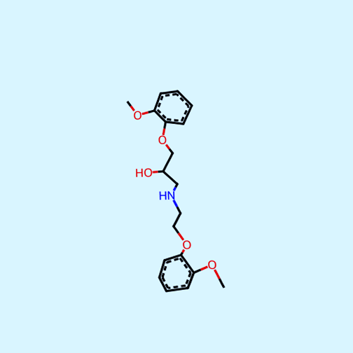 COc1ccccc1OCCNCC(O)COc1ccccc1OC